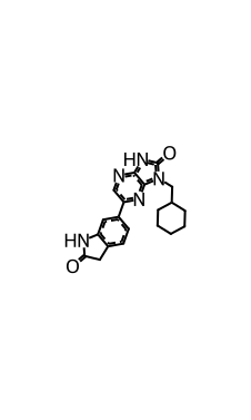 O=C1Cc2ccc(-c3cnc4[nH]c(=O)n(CC5CCCCC5)c4n3)cc2N1